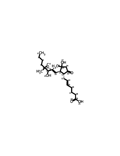 CCCCC(C)(C)C(O)C=C[C@@H]1[C@@H](CC=CCCCC(=O)O)C(=O)CC1(C)O